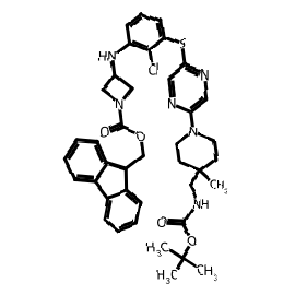 CC1(CNC(=O)OC(C)(C)C)CCN(c2cnc(Sc3cccc(NC4CN(C(=O)OCC5c6ccccc6-c6ccccc65)C4)c3Cl)cn2)CC1